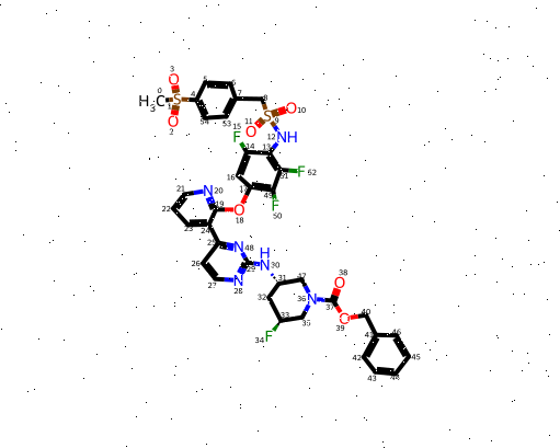 CS(=O)(=O)c1ccc(CS(=O)(=O)Nc2c(F)cc(Oc3ncccc3-c3ccnc(N[C@H]4C[C@H](F)CN(C(=O)OCc5ccccc5)C4)n3)c(F)c2F)cc1